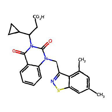 Cc1cc(C)c2c(Cn3c(=O)n(C(CC(=O)O)C4CC4)c(=O)c4ccccc43)nsc2c1